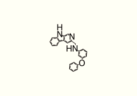 c1ccc(Oc2cccc(NCc3cc4c(cn3)[nH]c3ccccc34)c2)cc1